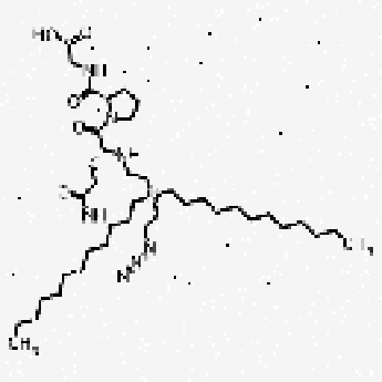 CCCCCCCCCCCC[Si](CCCCCCCCCCCC)(CCN=[N+]=[N-])CCN[C@H](CCC(N)=O)C(=O)N1CCC[C@@H]1C(=O)NCC(=O)O